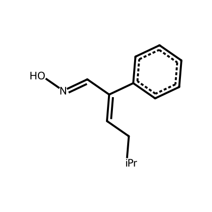 CC(C)C/C=C(/C=N/O)c1ccccc1